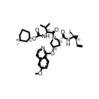 C=C[C@@H]1C[C@@]1(I)NC(=O)[C@@H]1C[C@@H](Oc2nccc3cc(OC)ccc23)CN1C(=O)[C@@H](NC(=O)O[C@H]1CCC[C@@H](C)C1)C(C)C